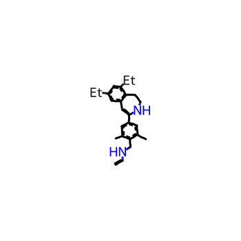 C=CNCc1c(C)cc(C2=Cc3cc(CC)cc(CC)c3CCN2)cc1C